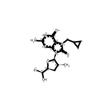 CC[C@H](O)[C@@H]1C[C@@H](C)[C@H](n2c(=O)n(CC3CC3)c3c(=O)[nH]c(N)nc32)O1